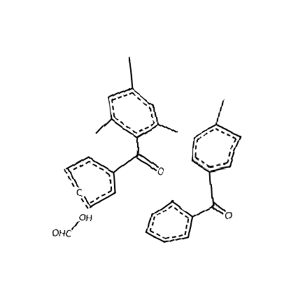 Cc1cc(C)c(C(=O)c2ccccc2)c(C)c1.Cc1ccc(C(=O)c2ccccc2)cc1.O=CO